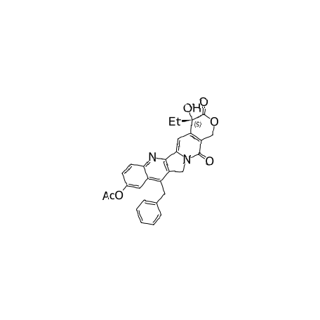 CC[C@@]1(O)C(=O)OCc2c1cc1n(c2=O)Cc2c-1nc1ccc(OC(C)=O)cc1c2Cc1ccccc1